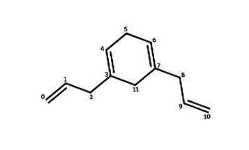 C=CCC1=CCC=C(CC=C)C1